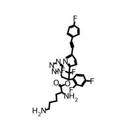 NCCCCC(N)C(=O)OC(Cn1cnnn1)(c1ccc(F)cc1F)C(F)(F)c1ccc(C#Cc2ccc(F)cc2)cn1